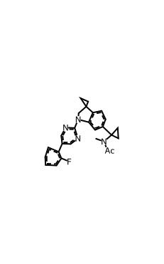 CC(=O)N(C)C1(c2ccc3c(c2)N(c2ncc(-c4ccccc4F)cn2)CC32CC2)CC1